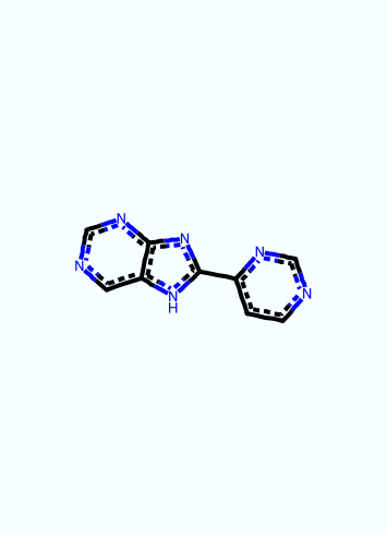 c1cc(-c2nc3ncncc3[nH]2)ncn1